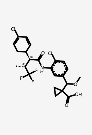 COC(c1ccc(Cl)c(NC(=O)[C@H](C2C=CC(Cl)=CC2)[C@@H](C)C(F)(F)F)c1)C1(C(=O)O)CC1